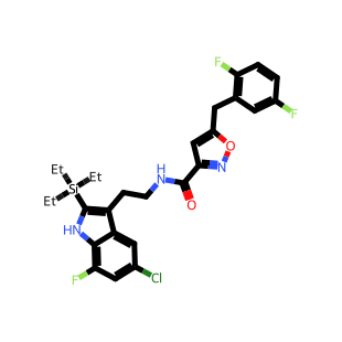 CC[Si](CC)(CC)c1[nH]c2c(F)cc(Cl)cc2c1CCNC(=O)c1cc(Cc2cc(F)ccc2F)on1